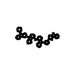 c1ccc(-n2c3ccccc3c3cc(-n4c5ccccc5c5c(Oc6cccc7c6c6ccccc6n7-c6cccc(-c7ccc8oc9ccccc9c8n7)c6)cccc54)ccc32)cc1